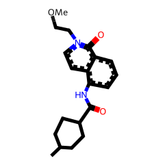 COCCn1ccc2c(NC(=O)C3CCC(C)CC3)cccc2c1=O